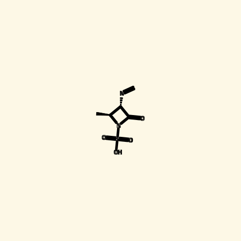 C=N[C@@H]1C(=O)N(S(=O)(=O)O)[C@H]1C